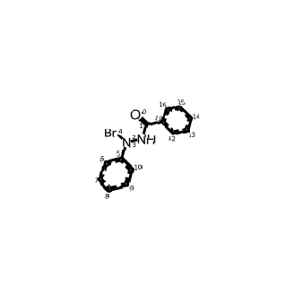 O=C(NN(Br)c1ccccc1)c1ccccc1